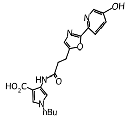 CCCCn1cc(NC(=O)CCc2cnc(-c3ccc(O)cn3)o2)c(C(=O)O)c1